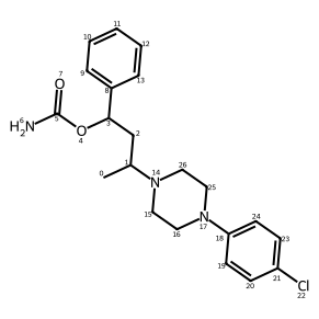 CC(CC(OC(N)=O)c1ccccc1)N1CCN(c2ccc(Cl)cc2)CC1